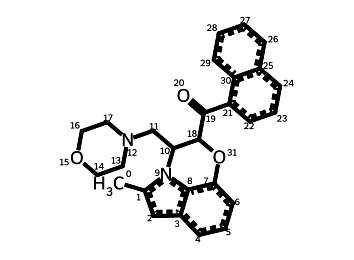 Cc1cc2cccc3c2n1C(CN1CCOCC1)C(C(=O)c1cccc2ccccc12)O3